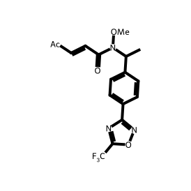 CON(C(=O)/C=C/C(C)=O)C(C)c1ccc(-c2noc(C(F)(F)F)n2)cc1